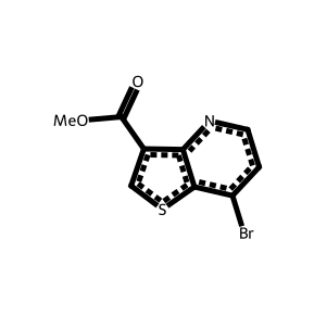 COC(=O)c1csc2c(Br)ccnc12